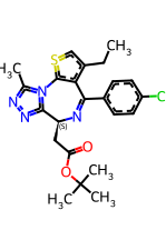 CCc1csc2c1C(c1ccc(Cl)cc1)=N[C@@H](CC(=O)OC(C)(C)C)c1nnc(C)n1-2